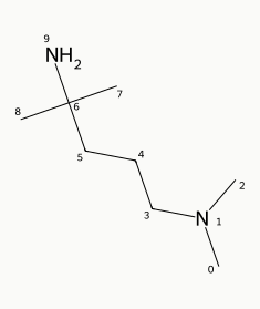 CN(C)CCCC(C)(C)N